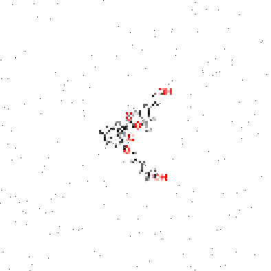 CC(C)(O)CCCCOC(=O)C12CC3CC(C1)CC(C(=O)OC(C)(C)CCCCO)(C3)C2